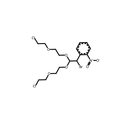 O=[N+]([O-])c1ccccc1C(Br)C(OCCOCCCl)OCCOCCCl